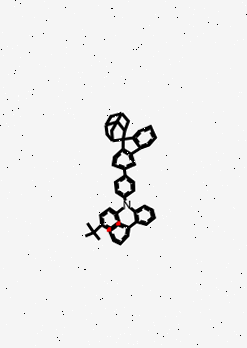 CC(C)(C)c1ccc(N(c2ccc(-c3ccc4c(c3)-c3ccccc3C43C4CC5CC(C4)CC3C5)cc2)c2ccccc2-c2ccccc2)cc1